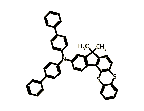 CC1(C)c2cc(N(c3ccc(-c4ccccc4)cc3)c3ccc(-c4ccccc4)cc3)ccc2-c2c1ccc1c2Sc2ccccc2S1